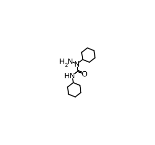 NN(C(=O)NC1CCCCC1)C1CCCCC1